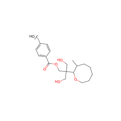 CC1CCCCCOC1C(CO)(CO)COC(=O)c1ccc(C(=O)O)cc1